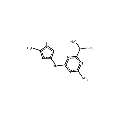 Cc1cc(Nc2nc(N)nc(N(C)C)n2)c[nH]1